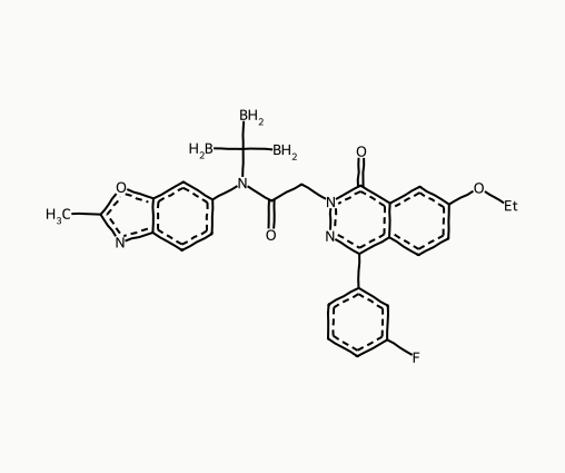 BC(B)(B)N(C(=O)Cn1nc(-c2cccc(F)c2)c2ccc(OCC)cc2c1=O)c1ccc2nc(C)oc2c1